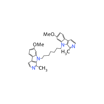 COc1ccc2c3ccnc(C)c3n(CCCCCCCn3c4cc(OC)ccc4c4ccnc(C)c43)c2c1